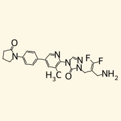 Cc1cc(-c2ccc(N3CCCC3=O)cc2)cnc1-n1cnn(CC(CN)=C(F)F)c1=O